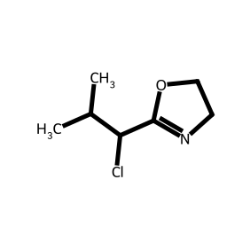 CC(C)C(Cl)C1=NCCO1